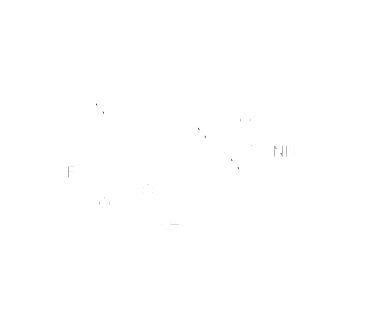 NC(=O)N1CCCc2cc(-c3cncc(F)c3C(=O)O)cnc21.[KH]